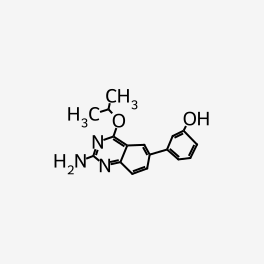 CC(C)Oc1nc(N)nc2ccc(-c3cccc(O)c3)cc12